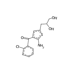 Nc1sc(CC(O)CO)cc1C(=O)c1ccccc1Cl